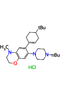 CCCCN1CCN(c2cc3c(cc2C2=CCC(C(C)(C)C)CC2)N(C)CCO3)CC1.Cl